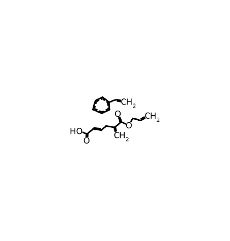 C=CCOC(=O)C(=C)CC=CC(=O)O.C=Cc1ccccc1